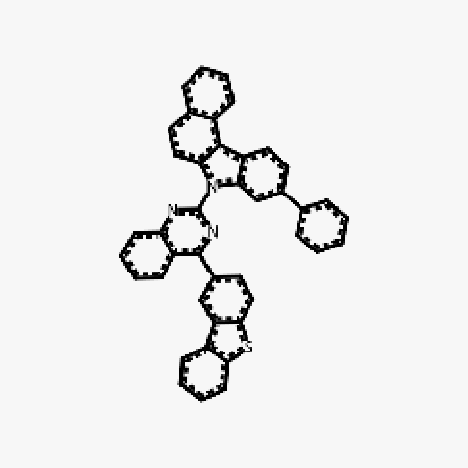 c1ccc(-c2ccc3c4c5ccccc5ccc4n(-c4nc(-c5ccc6sc7ccccc7c6c5)c5ccccc5n4)c3c2)cc1